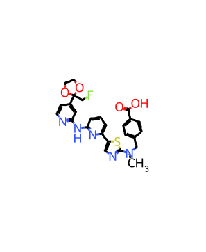 CN(Cc1ccc(C(=O)O)cc1)c1ncc(-c2cccc(Nc3cc(C4(CF)OCCO4)ccn3)n2)s1